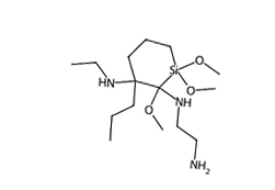 CCCC1(NCC)CCC[Si](OC)(OC)C1(NCCN)OC